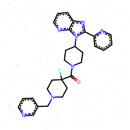 O=C(N1CCC(n2c(-c3ccccn3)nc3cccnc32)CC1)C1(F)CCN(Cc2cccnc2)CC1